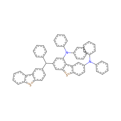 c1ccc(C(c2cc(N(c3ccccc3)c3ccccc3)c3c(c2)sc2ccc(N(c4ccccc4)c4ccccc4)cc23)c2ccc3sc4ccccc4c3c2)cc1